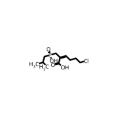 CC(C)CP(=O)(O)CC(=CCCCCl)C(=O)O